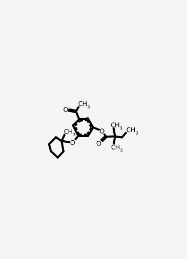 CCC(C)(C)C(=O)Oc1cc(OC2(C)CCCCC2)cc(C(C)=O)c1